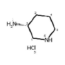 Cl.N[C@@H]1CCCNC1